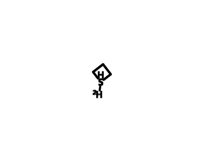 [2H][SH]1CCC1